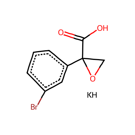 O=C(O)C1(c2cccc(Br)c2)CO1.[KH]